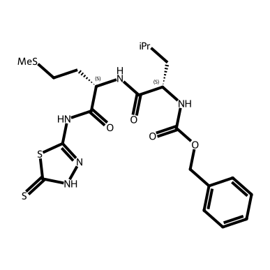 CSCC[C@H](NC(=O)[C@H](CC(C)C)NC(=O)OCc1ccccc1)C(=O)Nc1n[nH]c(=S)s1